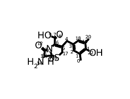 Cc1cc(CC2=C(C(=O)O)N3C(=O)[C@@H](N)[C@H]3SC2)cc(C)c1O